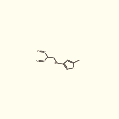 Cc1cc(NCC(P=O)P=O)no1